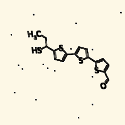 CCC(S)c1ccc(-c2ccc(-c3ccc(C=O)s3)s2)s1